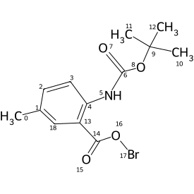 Cc1ccc(NC(=O)OC(C)(C)C)c(C(=O)OBr)c1